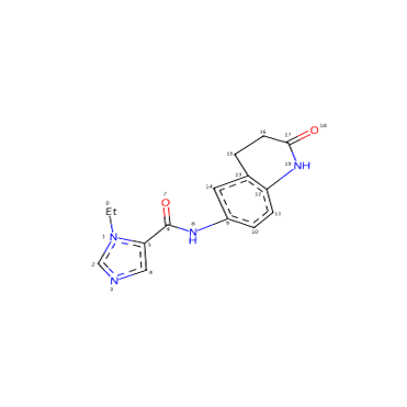 CCn1cncc1C(=O)Nc1ccc2c(c1)CCC(=O)N2